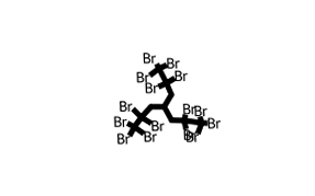 BrC(Br)(Br)C(Br)(Br)CC(CC(Br)(Br)C(Br)(Br)Br)CC(Br)(Br)C(Br)(Br)Br